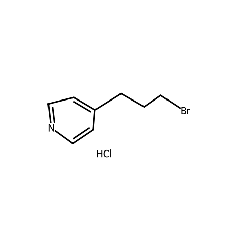 BrCCCc1ccncc1.Cl